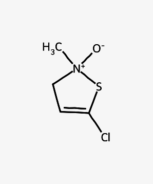 C[N+]1([O-])CC=C(Cl)S1